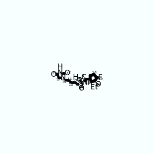 CCOc1cc([C@@H](C)NS(=O)(=O)CCCCCN2CC(=O)NC2=O)ccc1F